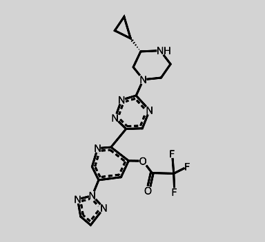 O=C(Oc1cc(-n2nccn2)cnc1-c1cnc(N2CCN[C@@H](C3CC3)C2)nn1)C(F)(F)F